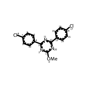 COc1nc(-c2ccc(Cl)cc2)nc(-c2ccc(Cl)cc2)n1